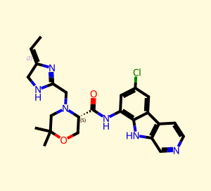 C/C=C1/CNC(CN2CC(C)(C)OC[C@H]2C(=O)Nc2cc(Cl)cc3c2[nH]c2cnccc23)=N1